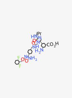 CC(C)Nc1ncc(-c2cc(N)cc(C(=O)O)c2)n(CC(=O)NCc2ccc(/C(N)=N/C(=O)OCc3c(F)cccc3F)cc2)c1=O